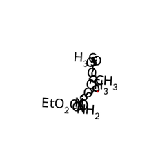 CCOC(=O)CN(c1ccc(OCc2cccc(-c3c(C)cc(OCCCS(C)(=O)=O)cc3C)c2)cc1)S(N)(=O)=O